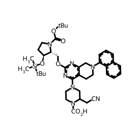 CC(C)(C)OC(=O)N1CC[C@H](O[Si](C)(C)C(C)(C)C)[C@H]1COc1nc2c(c(N3CCN(C(=O)O)C(CC#N)C3)n1)CCN(c1cccc3ccccc13)C2